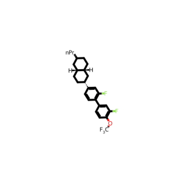 CCCC1CC[C@@H]2C[C@H](c3ccc(-c4ccc(OC(F)(F)F)c(F)c4)c(F)c3)CC[C@@H]2C1